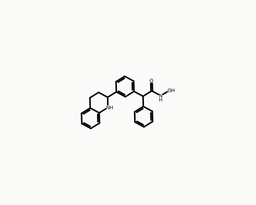 O=C(NO)C(c1ccccc1)c1cccc(C2CCc3ccccc3N2)c1